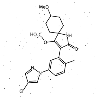 COC1CCC2(CC1)NC(=O)C(c1cc(-n3cc(Cl)cn3)ccc1C)=C2OC(=O)O